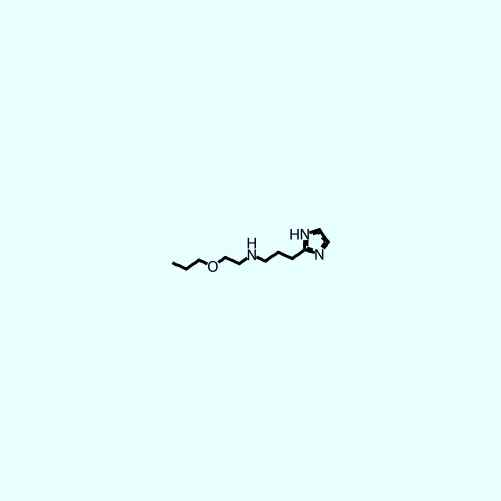 CCCOCCNCCCc1ncc[nH]1